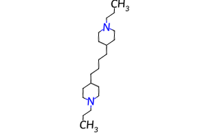 CCCN1CCC(CCCCC2CCN(CCC)CC2)CC1